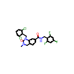 CN1Cc2ccc(C(=O)NCc3c(F)cc(F)cc3F)cc2N(Cc2c(Cl)cccc2Cl)C1=O